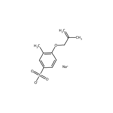 C=C(C)COc1ccc(S(=O)(=O)[O-])cc1C.[Na+]